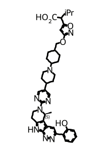 CC(C)C(C(=O)O)c1cc(OCC2CCC(N3CCC(c4cnc(N5CCc6[nH]c7nnc(-c8ccccc8O)cc7c6[C@@H]5C)nc4)CC3)CC2)no1